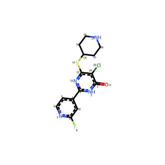 O=c1[nH]c(-c2ccnc(F)c2)nc(SC2CCNCC2)c1Cl